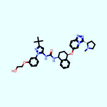 CN1CCC[C@H]1c1nnc2ccc(O[C@@H]3CC[C@H](NC(=O)Nc4cc(C(C)(C)C)nn4-c4cccc(OCCO)c4)c4ccccc43)cn12